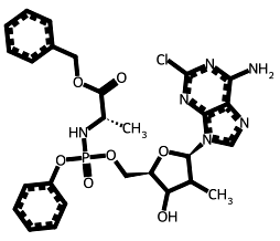 CC1C(O)[C@@H](COP(=O)(N[C@@H](C)C(=O)OCc2ccccc2)Oc2ccccc2)O[C@H]1n1cnc2c(N)nc(Cl)nc21